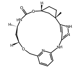 C[C@]12CC[C@H](C1)OC(=O)N[C@H]1C[C@@H](C1)OCc1cccc(n1)Nc1cc2[nH]n1